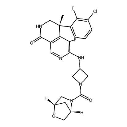 C[C@]1(c2cccc(Cl)c2F)CNC(=O)c2cnc(NC3CN(C(=O)N4C[C@@H]5C[C@H]4CO5)C3)c(F)c21